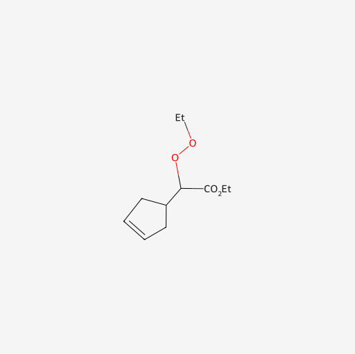 CCOOC(C(=O)OCC)C1CC=CC1